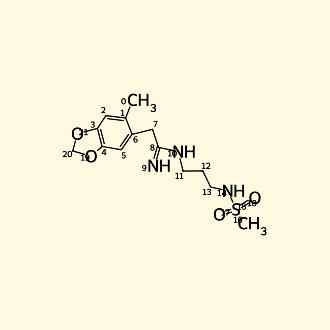 Cc1cc2c(cc1CC(=N)NCCCNS(C)(=O)=O)OCO2